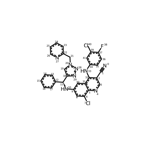 N#Cc1cnc2c(Cl)cc(N[C@@H](c3ccccc3)c3cn(Cc4ccccn4)nn3)cc2c1Nc1ccc(F)c(Cl)c1